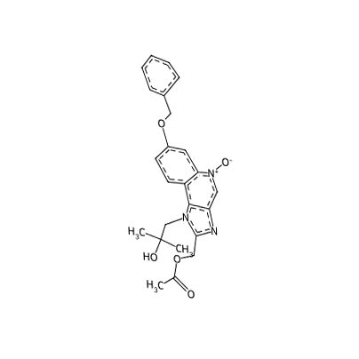 CC(=O)OCc1nc2c[n+]([O-])c3cc(OCc4ccccc4)ccc3c2n1CC(C)(C)O